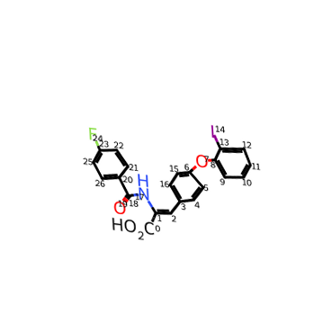 O=C(O)C(=Cc1ccc(Oc2ccccc2I)cc1)NC(=O)c1ccc(F)cc1